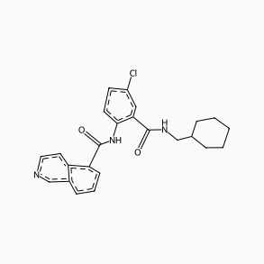 O=C(NCC1CCCCC1)c1cc(Cl)ccc1NC(=O)c1cccc2cnccc12